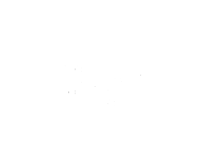 CC(C)(C)COC(=O)C(C)(C)C(=O)OC(C)(C)C